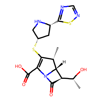 C[C@@H](O)[C@H]1C(=O)N2C(C(=O)O)=C(S[C@@H]3CN[C@H](c4ncns4)C3)[C@H](C)[C@H]12